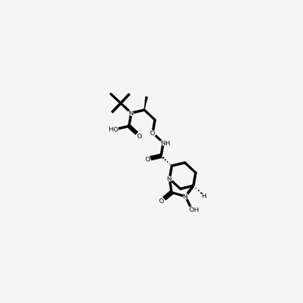 C[C@@H](CONC(=O)[C@@H]1CC[C@@H]2CN1C(=O)N2O)N(C(=O)O)C(C)(C)C